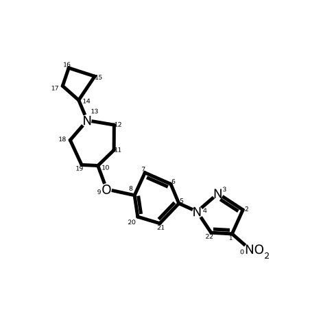 O=[N+]([O-])c1cnn(-c2ccc(OC3CCN(C4CCC4)CC3)cc2)c1